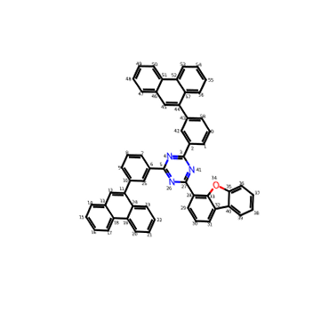 c1cc(-c2nc(-c3cccc(-c4cc5ccccc5c5ccccc45)c3)nc(-c3cccc4c3oc3ccccc34)n2)cc(-c2cc3ccccc3c3ccccc23)c1